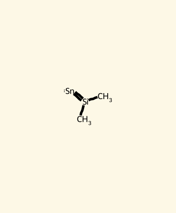 C[Si](C)=[Sn]